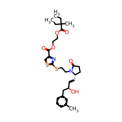 CCC(C)(CC)C(=O)OCCOC(=O)c1csc(SCCN2C(=O)CC[C@@H]2/C=C/[C@@H](O)Cc2cccc(C)c2)n1